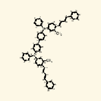 Cc1cc(N(c2ccccc2)c2ccc(-c3ccc(N(c4ccccc4)c4ccc(C=CC=Cc5ccccc5)c(C)c4)cc3)cc2)ccc1C=CC=Cc1ccccc1